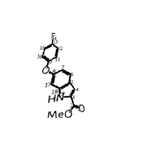 COC(=O)c1cc2ccc(Oc3ccc(F)cc3)cc2[nH]1